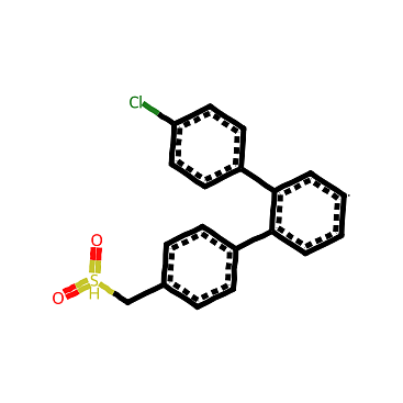 O=[SH](=O)Cc1ccc(-c2cc[c]cc2-c2ccc(Cl)cc2)cc1